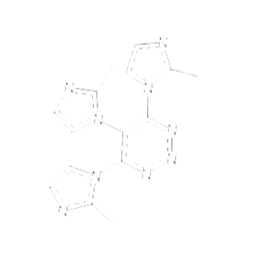 Cc1nccn1-c1nnnc(-n2ccnc2C)c1-n1ccnc1C